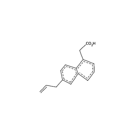 C=CCc1ccc2c(CC(=O)O)cccc2c1